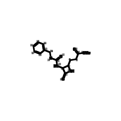 COC(=O)CCC1NC(=O)C1NC(=O)OCc1ccccc1